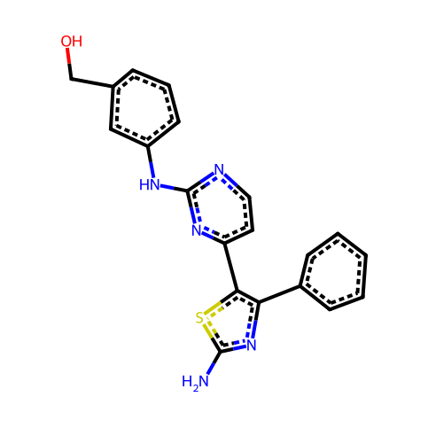 Nc1nc(-c2ccccc2)c(-c2ccnc(Nc3cccc(CO)c3)n2)s1